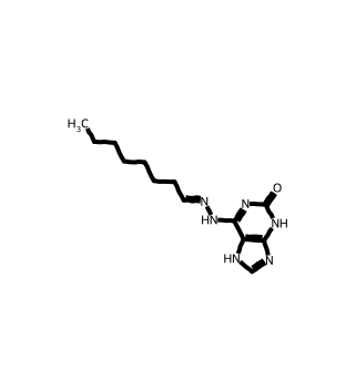 CCCCCCCC=NNc1nc(=O)[nH]c2nc[nH]c12